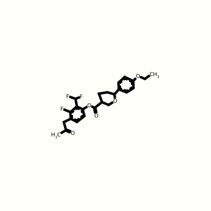 CCOc1ccc(C2CCC(C(=O)Oc3ccc(CC(C)=O)c(F)c3C(F)F)CO2)cc1